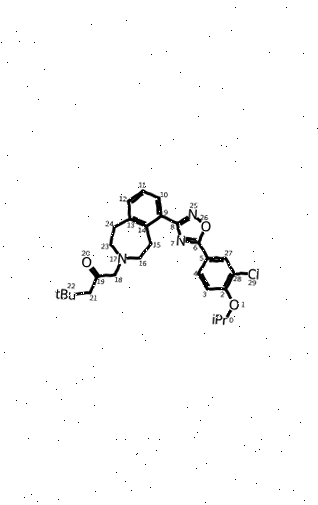 CC(C)Oc1ccc(-c2nc(-c3cccc4c3CCN(CC(=O)CC(C)(C)C)CC4)no2)cc1Cl